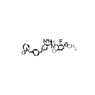 COc1ccc(Cl)c(CNc2ncnc3c2CN(Cc2ccc(Cn4ccccc4=O)cc2)C3)c1F